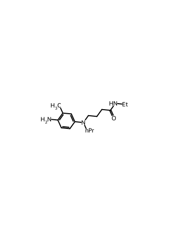 CCCN(CCCC(=O)NCC)c1ccc(N)c(C)c1